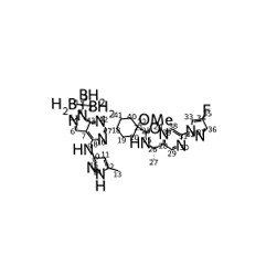 BC(B)(B)n1ncc2c(Nc3cc(C)[nH]n3)nc([C@H]3CC[C@](OC)(C(=O)N[C@@H](C)c4cnc(-n5cc(F)cn5)cn4)CC3)nc21